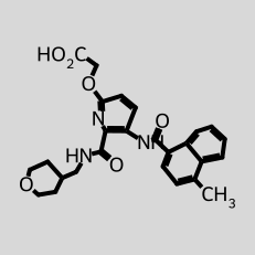 Cc1ccc(C(=O)Nc2ccc(OCC(=O)O)nc2C(=O)NCC2CCOCC2)c2ccccc12